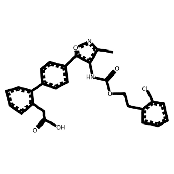 Cc1noc(-c2ccc(-c3ccccc3CC(=O)O)cc2)c1NC(=O)OCCc1ccccc1Cl